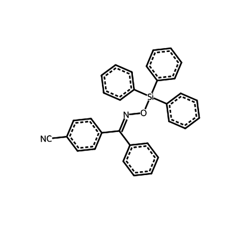 N#Cc1ccc(C(=NO[Si](c2ccccc2)(c2ccccc2)c2ccccc2)c2ccccc2)cc1